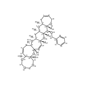 C1=CC[C@@H]2O[C@@H]3C[C@@H]4O[C@@H]5C/C=C\[C@@H]6OCOCOC[C@H]6O[C@H]5C=C[C@H]4O[C@H]3[C@H](OCc3ccccc3)[C@H]2OC1